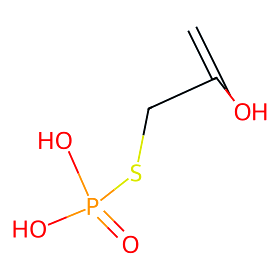 C=C(O)CSP(=O)(O)O